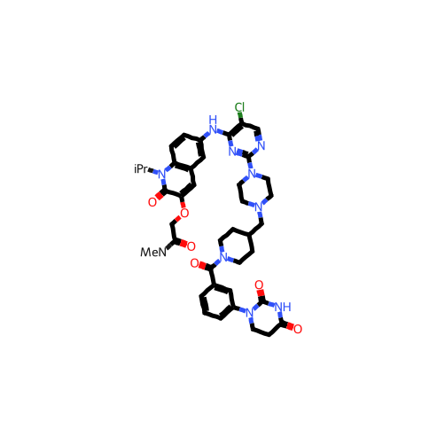 CNC(=O)COc1cc2cc(Nc3nc(N4CCN(CC5CCN(C(=O)c6cccc(N7CCC(=O)NC7=O)c6)CC5)CC4)ncc3Cl)ccc2n(C(C)C)c1=O